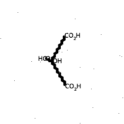 O=C(O)CCCCCCCCCCCC(O)(CCCCCCCCCCCC(=O)O)COO